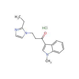 CCc1nccn1CCC(=O)c1cn(C)c2ccccc12.Cl